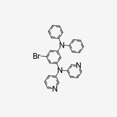 Brc1cc(N(c2ccccc2)c2ccccc2)cc(N(c2cccnc2)c2cccnc2)c1